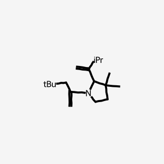 C=C(C(C)C)C1N(C(=C)CC(C)(C)C)CCC1(C)C